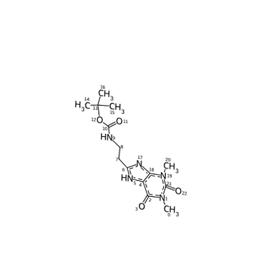 Cn1c(=O)c2[nH]c(CCNC(=O)OC(C)(C)C)nc2n(C)c1=O